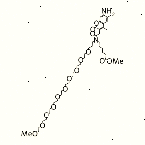 COCCOCCOCCOCCOCCOCCOCCOCCOCCOCCCN(CCCCCC(=O)OC)C(=O)Cc1c(C)c2cc(C)c(N)cc2oc1=O